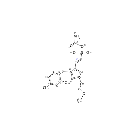 COCOc1cc(/C=C/S(=O)(=O)OC(N)=O)n(Cc2ccc(Cl)cc2Cl)n1